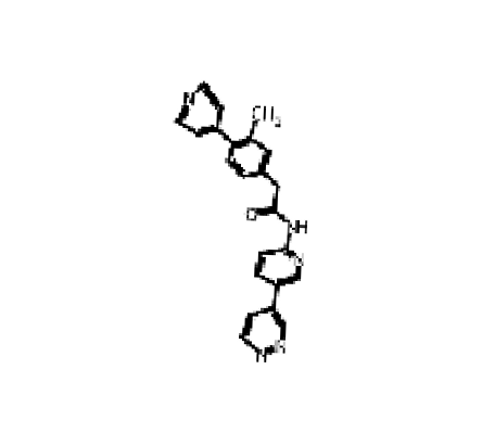 Cc1cc(CC(=O)Nc2ccc(-c3ccnnc3)cn2)ccc1-c1ccncc1